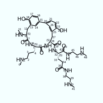 CNCCC[C@@H]1NC(=O)[C@@H](NC)Cc2cc(ccc2O)-c2ccc(O)c(c2)C[C@@H](C(=O)N[C@@H](CCC(=O)NCCNC)C(=O)NCCNC)NC1=O